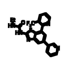 CCNC(=O)Nc1nc2cc(-c3cccnc3)cc(-c3ncccc3C(F)(F)F)c2s1